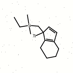 CC[Si](C)(C)C[C]1([Ti])C=CC2=C1CCCC2